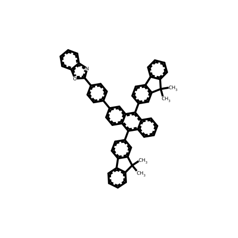 CC1(C)c2ccccc2-c2ccc(-c3c4ccccc4c(-c4ccc5c(c4)C(C)(C)c4ccccc4-5)c4cc(-c5ccc(-c6nc7ccccc7o6)cc5)ccc34)cc21